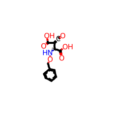 O=C=C(C(=O)O)[C@H](NOCc1ccccc1)C(=O)O